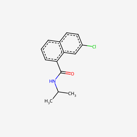 CC(C)NC(=O)c1cccc2ccc(Cl)cc12